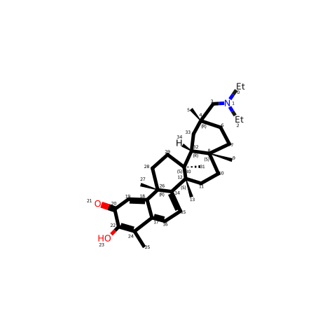 CCN(CC)C[C@]1(C)CC[C@]2(C)CC[C@]3(C)C4=CC=C5C(=CC(=O)C(O)=C5C)[C@]4(C)CC[C@@]3(C)[C@@H]2C1